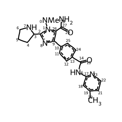 CNn1c(C2CCCN2)nc(-c2ccc(C(=O)Nc3cc(C)ccn3)cc2)c1C(N)=O